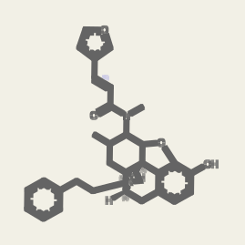 CC1C[C@@]2(O)[C@H]3Cc4ccc(O)c5c4[C@@]2(CCN3CCc2ccccc2)C(O5)C1N(C)C(=O)/C=C/c1ccoc1